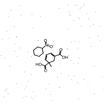 CC1(C(=O)O)C=CC=C(C(=O)O)C1.O=[N+]([O-])C1CCCCC1